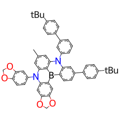 Cc1cc2c3c(c1)N(c1ccc4c(c1)OCO4)c1cc4c(cc1B3c1ccc(-c3ccc(C(C)(C)C)cc3)cc1N2c1cccc(-c2ccc(C(C)(C)C)cc2)c1)OCO4